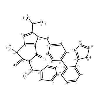 CC(C)c1nc2c(c(=O)n(C(C)c3ccccc3)c(=O)n2C)n1Cc1ccc(-c2ccccc2-c2nnn[nH]2)cc1